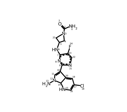 NC(=O)N1CC(Nc2nc(C3=CN(N)C4NC=C(Cl)C=C34)ncc2F)C1